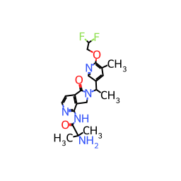 Cc1cc(C(C)N2Cc3c(ccnc3NC(=O)C(C)(C)N)C2=O)cnc1OCC(F)F